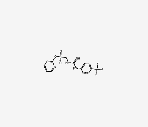 N=C(NCS(=O)(=O)Oc1ccccn1)Nc1ccc(C(F)(F)F)cc1